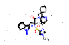 Cn1cnc(S(=O)(=O)N[C@@](C)(Cc2c[nH]c3ccccc23)C(=O)NCC2(c3ccccn3)CCCCC2)c1